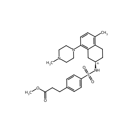 COC(=O)CCc1ccc(S(=O)(=O)N[C@@H]2CCc3c(C)ccc(N4CCN(C)CC4)c3C2)cc1